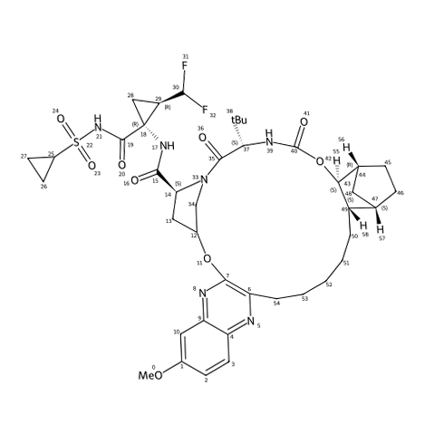 COc1ccc2nc3c(nc2c1)OC1C[C@@H](C(=O)N[C@]2(C(=O)NS(=O)(=O)C4CC4)C[C@H]2C(F)F)N(C1)C(=O)[C@H](C(C)(C)C)NC(=O)O[C@H]1[C@@H]2CC[C@@H](C2)[C@@H]1CCCCC3